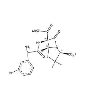 COC(=O)[C@]1(NC(=O)C(N)c2cccc(Br)c2)C(=O)N2[C@@H](C(=O)O)C(C)(C)S[C@@H]21